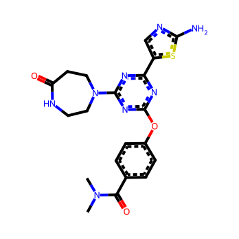 CN(C)C(=O)c1ccc(Oc2nc(-c3cnc(N)s3)nc(N3CCNC(=O)CC3)n2)cc1